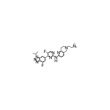 CC(C)n1nnc2c(F)cc(-c3nc(Nc4ccc5c(n4)CCN(CCN(C)C)C5)ncc3F)cc21